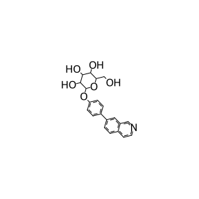 OCC1OC(Oc2ccc(-c3ccc4ccncc4c3)cc2)C(O)C(O)C1O